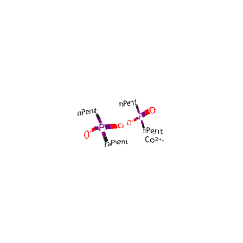 CCCCCP(=O)([O-])CCCCC.CCCCCP(=O)([O-])CCCCC.[Co+2]